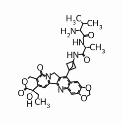 CC[C@@]1(O)C(=O)OCc2c1cc1n(c2=O)Cc2c-1nc1cc3c(cc1c2C12CC(NC(=O)[C@H](C)NC(=O)[C@@H](N)C(C)C)(C1)C2)OCO3